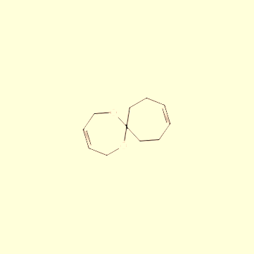 C1=CCCC2(CC1)OCC=CCO2